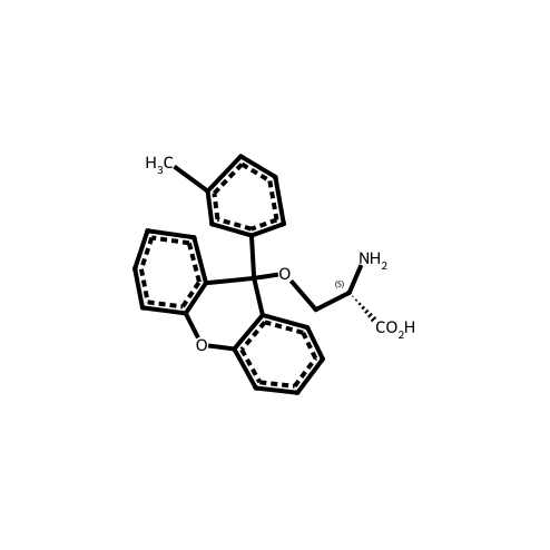 Cc1cccc(C2(OC[C@H](N)C(=O)O)c3ccccc3Oc3ccccc32)c1